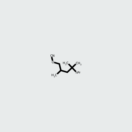 CCCC(C)(C)CC(C)COC#N